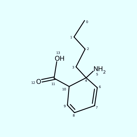 CCCCC1(N)C=CC=CC1C(=O)O